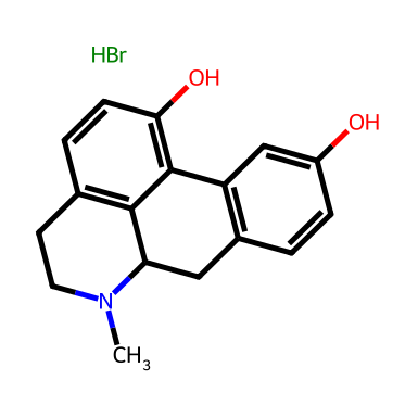 Br.CN1CCc2ccc(O)c3c2C1Cc1ccc(O)cc1-3